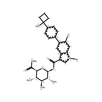 COC(=O)[C@H]1O[C@@H](OC(=O)c2cn(C(C)=O)c3cc(Cl)c(-c4ccc(C5(O)CCC5)cc4)cc23)[C@H](OC(C)=O)[C@@H](OC(C)=O)[C@@H]1OC(C)=O